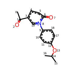 CC(=O)c1ccc(=O)n(-c2ccc(OC(C)C)cc2)c1